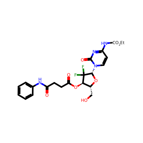 CCOC(=O)Nc1ccn([C@@H]2O[C@H](CO)[C@@H](OC(=O)CCC(=O)Nc3ccccc3)C2(F)F)c(=O)n1